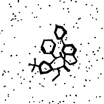 CCN1C(=O)C2(CCc3ccc(-c4ccncc4)cc32)C(=O)N(C2=CCCC=C2)c2cc(C(F)(F)F)ccc21